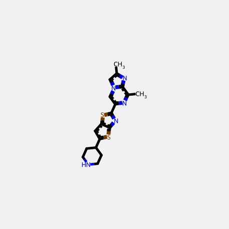 Cc1cn2cc(-c3nc4sc(C5CCNCC5)cc4s3)nc(C)c2n1